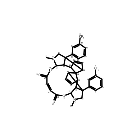 CN1CC2(c3cccc(C(F)(F)F)c3)C3C1OC(=O)/C=C\C(=O)OC1C4C5C=CC(C4(c4cccc(C(F)(F)F)c4)CN1C)C51C3C=CC21